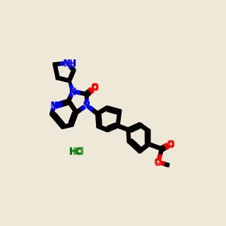 COC(=O)c1ccc(-c2ccc(-n3c(=O)n([C@H]4CCNC4)c4ncccc43)cc2)cc1.Cl